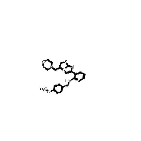 COc1ccc(CNc2ncccc2-c2cn3c(n2)SCC3CN2CCOCC2)cc1